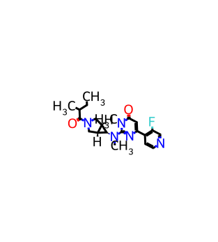 CCC(C)C(=O)N1C[C@@H]2[C@H](C1)[C@@H]2N(C)c1nc(-c2ccncc2F)cc(=O)n1C